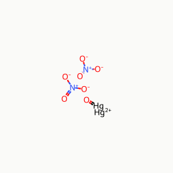 O=[N+]([O-])[O-].O=[N+]([O-])[O-].[Hg+2].[O]=[Hg]